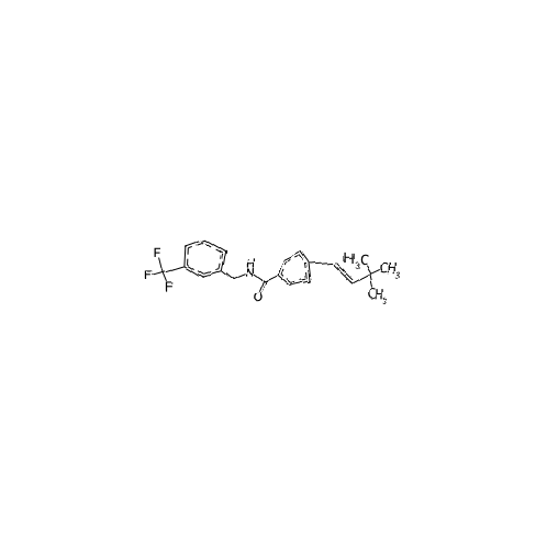 CC(C)(C)/C=C/c1ccc(C(=O)NCc2cccc(C(F)(F)F)c2)cc1